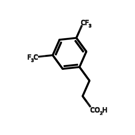 O=C(O)CCc1cc(C(F)(F)F)cc(C(F)(F)F)c1